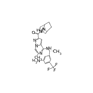 Cc1cn2nc(C(=O)N3CC4CCC(C3)N4C)cc2c(N[C@H](C)c2cc(N)cc(C(F)(F)F)c2)n1